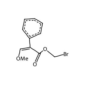 COC=C(C(=O)OCBr)c1ccccc1